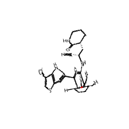 N#C[C@H](C[C@H]1CCCNC1=O)NC(=O)[C@H]1[C@@H]2CC[C@@H](CC2(F)F)N1C(=O)c1cc2scc(Cl)c2[nH]1